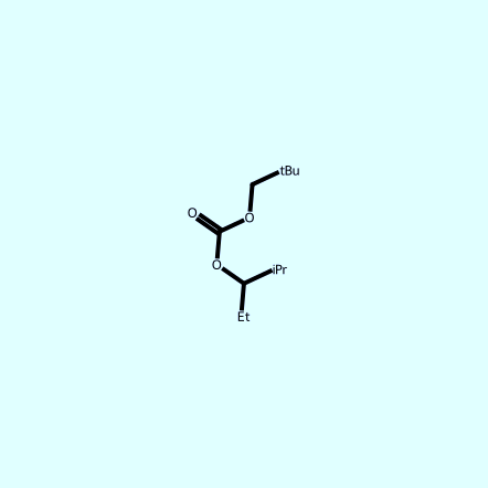 CCC(OC(=O)OCC(C)(C)C)C(C)C